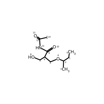 CCC(C)OCC(CO)C(=O)NC(=O)I